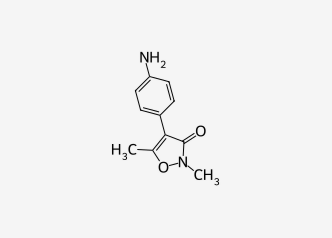 Cc1on(C)c(=O)c1-c1ccc(N)cc1